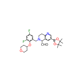 CC1(C)OB(c2cnc3c(c2)C(C=O)N(Cc2cc(F)cc(F)c2OC2CCOCC2)CC3)OC1(C)C